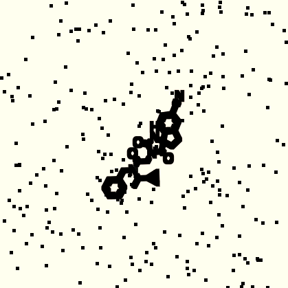 CC(C1CC1)N(Cc1ccccc1)C(=O)CN1C(=O)NC2(CCc3cc(C#N)ccc32)C1=O